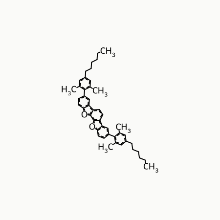 CCCCCCc1cc(C)c(-c2ccc3oc4c(ccc5c6cc(-c7c(C)cc(CCCCCC)cc7C)ccc6oc54)c3c2)c(C)c1